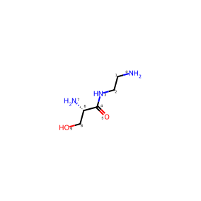 NCCNC(=O)[C@@H](N)CO